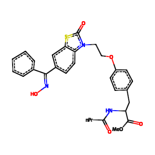 CCCC(=O)NC(Cc1ccc(OCCn2c(=O)sc3cc(C(=NO)c4ccccc4)ccc32)cc1)C(=O)OC